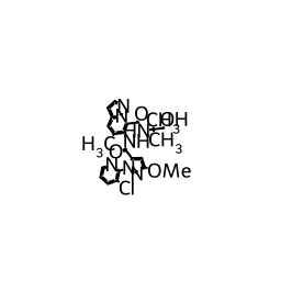 COc1cc(C(=O)Nc2c(C)cc3ccnn3c2C(=O)NC(C)(C)CO)n(-c2ncccc2Cl)n1